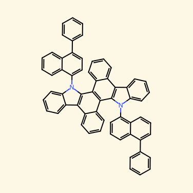 c1ccc(-c2cccc3c(-n4c5ccccc5c5c6ccccc6c6c(c7ccccc7c7c8ccccc8n(-c8ccc(-c9ccccc9)c9ccccc89)c76)c54)cccc23)cc1